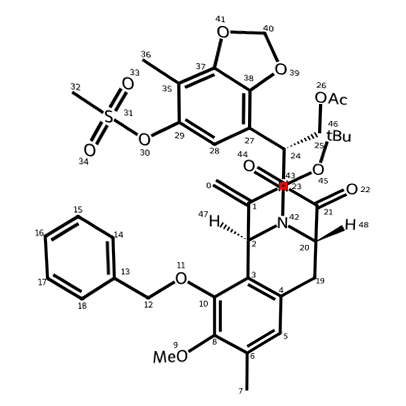 C=C1[C@@H]2c3c(cc(C)c(OC)c3OCc3ccccc3)C[C@@H](C(=O)N1[C@@H](COC(C)=O)c1cc(OS(C)(=O)=O)c(C)c3c1OCO3)N2C(=O)OC(C)(C)C